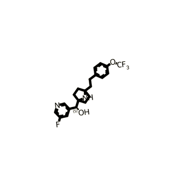 O[C@@H](c1cncc(F)c1)C12CCC(CCc3ccc(OC(F)(F)F)cc3)(CC1)N2